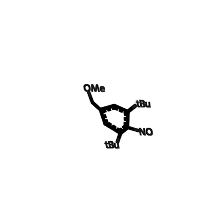 COCc1cc(C(C)(C)C)c(N=O)c(C(C)(C)C)c1